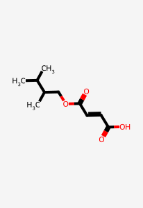 CC(C)C(C)COC(=O)C=CC(=O)O